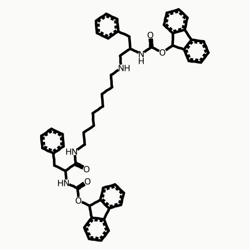 O=C(NC(CNCCCCCCCCNC(=O)C(Cc1ccccc1)NC(=O)OC1c2ccccc2-c2ccccc21)Cc1ccccc1)OC1c2ccccc2-c2ccccc21